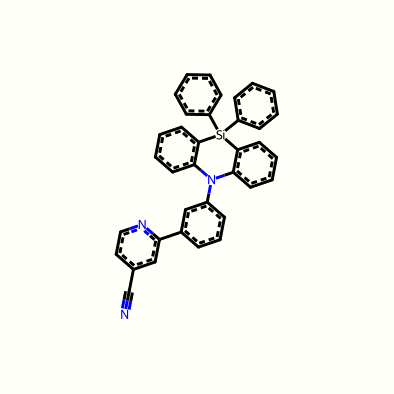 N#Cc1ccnc(-c2cccc(N3c4ccccc4[Si](c4ccccc4)(c4ccccc4)c4ccccc43)c2)c1